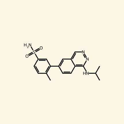 Cc1ccc(S(N)(=O)=O)cc1-c1ccc2c(NC(C)C)nncc2c1